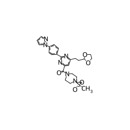 CS(=O)(=O)N1CCN(C(=O)c2cc(CCC3OCCO3)nc(-c3ccc(-n4cccn4)cc3)n2)CC1